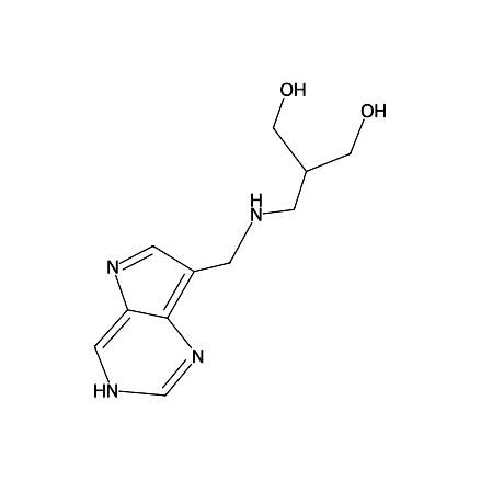 OCC(CO)CNCc1cnc2c[nH]cnc1-2